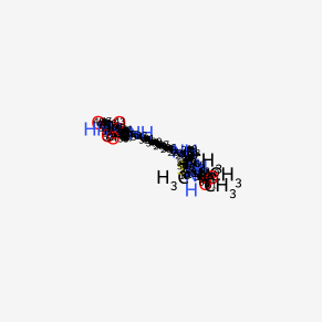 COc1cc2nc(C)nc(NC(C)c3cc(-c4ccccc4CNCCCCCCCCCCCNc4ccc5c(c4)C(=O)N(C4CCC(=O)NC4=O)C5=O)cs3)c2cc1OC